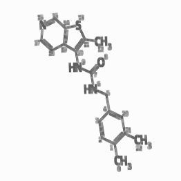 Cc1ccc(CNC(=O)Nc2c(C)sc3cnccc23)cc1C